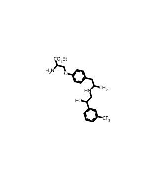 CCOC(=O)C(N)COc1ccc(CC(C)NCC(O)c2cccc(C(F)(F)F)c2)cc1